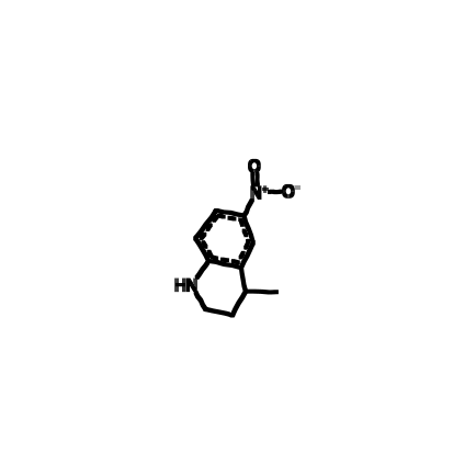 CC1CCNc2ccc([N+](=O)[O-])cc21